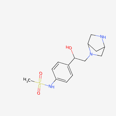 CS(=O)(=O)Nc1ccc(C(O)CN2CC3CC2CN3)cc1